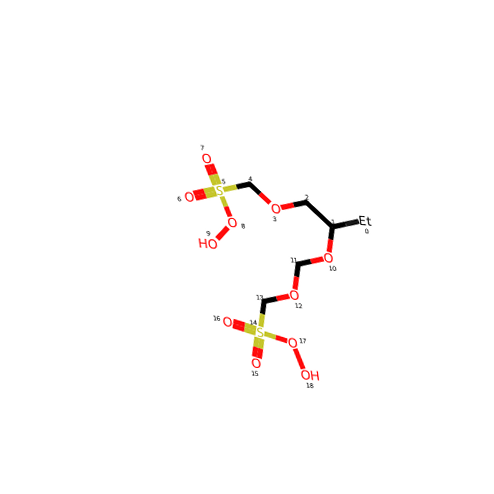 CCC(COCS(=O)(=O)OO)OCOCS(=O)(=O)OO